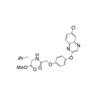 COC(=O)[C@H](CC(C)C)NC(=O)COc1ccc(Oc2cnc3cc(Cl)ccc3n2)cc1